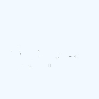 CC1(C)CC[C@]2(C(=O)OCc3ccccc3)CC[C@]3(C)C(=CC[C@@H]4[C@@]5(C)CC[C@H](O)[C@](C)(CCc6ccccc6)C5CC[C@]43C)[C@H]2C1